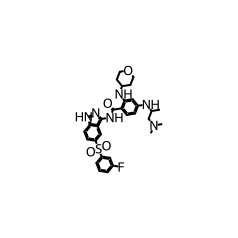 CC(CN(C)C)Nc1ccc(C(=O)Nc2n[nH]c3ccc(S(=O)(=O)c4cccc(F)c4)cc23)c(NC2CCOCC2)c1